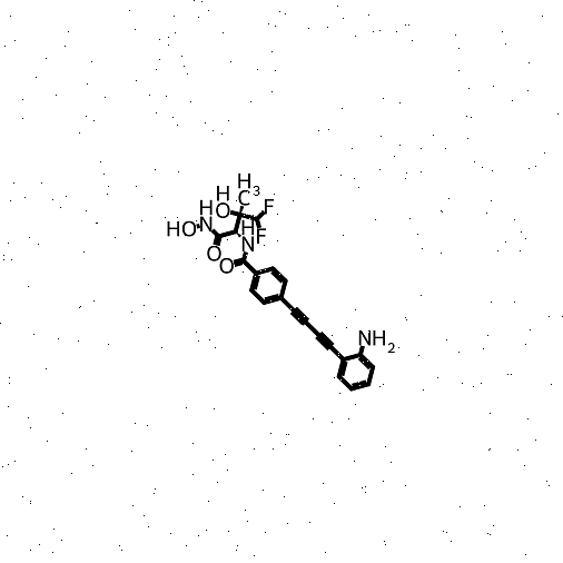 C[C@@](O)(C(F)F)[C@H](NC(=O)c1ccc(C#CC#Cc2ccccc2N)cc1)C(=O)NO